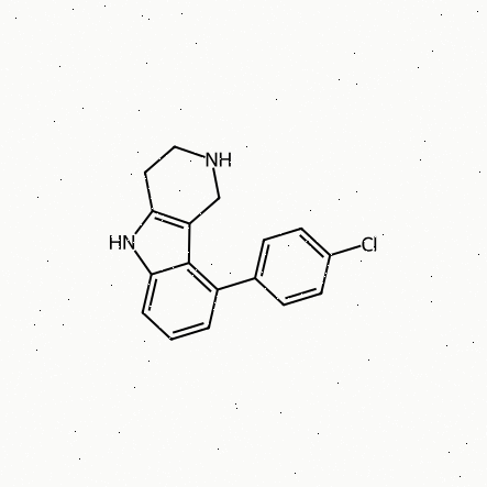 Clc1ccc(-c2cccc3[nH]c4c(c23)CNCC4)cc1